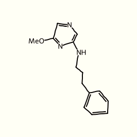 COc1cncc(NCCCc2ccccc2)n1